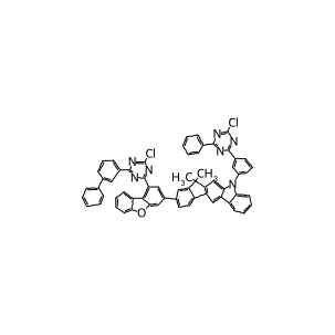 CC1(C)c2cc(-c3cc(-c4nc(Cl)nc(-c5cccc(-c6ccccc6)c5)n4)c4c(c3)oc3ccccc34)ccc2-c2cc3c4ccccc4n(-c4cccc(-c5nc(Cl)nc(-c6ccccc6)n5)c4)c3cc21